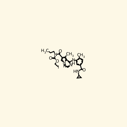 CCCN(C(=O)OCI)C(=O)c1cn2ncnc(Nc3cc(C(=O)NC4CC4)ccc3C)c2c1C